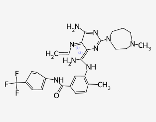 C=C/N=C1/C(N)=NC(N2CCCN(C)CC2)=N/C1=C(/N)Nc1cc(C(=O)Nc2ccc(C(F)(F)F)cc2)ccc1C